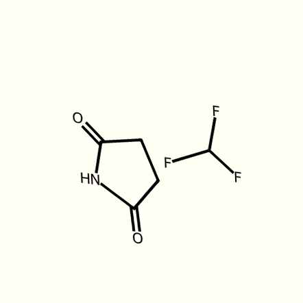 FC(F)F.O=C1CCC(=O)N1